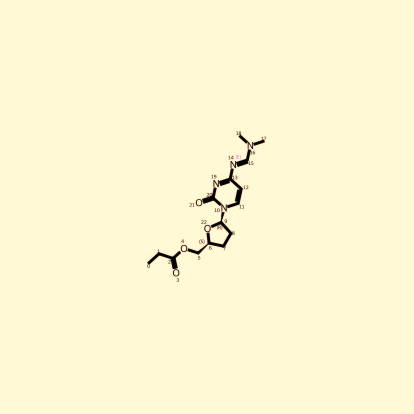 CCC(=O)OC[C@@H]1CC[C@H](n2ccc(/N=C/N(C)C)nc2=O)O1